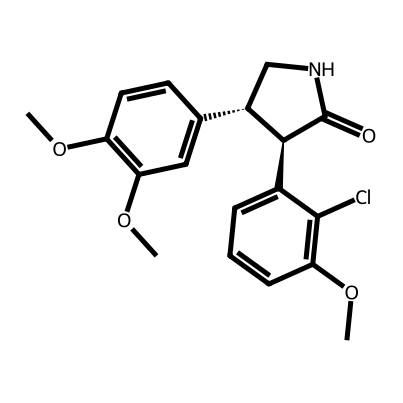 COc1ccc([C@@H]2CNC(=O)[C@H]2c2cccc(OC)c2Cl)cc1OC